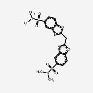 CN(C)S(=O)(=O)c1ccc2oc(Cc3nc4cc(S(=O)(=O)N(C)C)ccc4o3)nc2c1